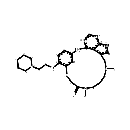 CN1CCCN(C)C(=O)COc2cc(ccc2OCCN2CCCCC2)Nc2ncnc3[nH]cc(c23)C1